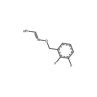 CCCC=NOCc1cccc(F)c1F